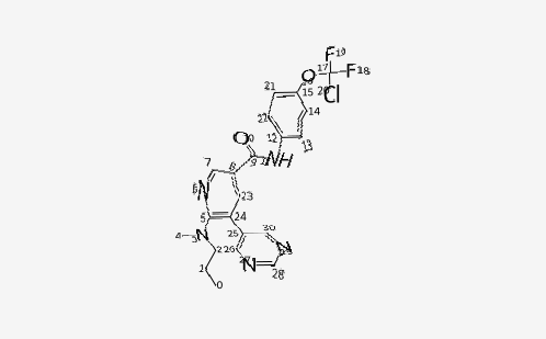 CCCN(C)c1ncc(C(=O)Nc2ccc(OC(F)(F)Cl)cc2)cc1-c1cncnc1